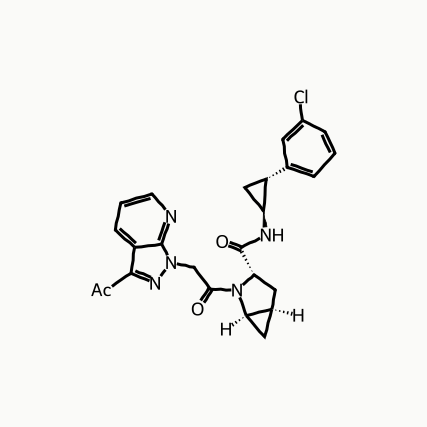 CC(=O)c1nn(CC(=O)N2[C@@H]3C[C@@H]3C[C@H]2C(=O)N[C@H]2C[C@@H]2c2cccc(Cl)c2)c2ncccc12